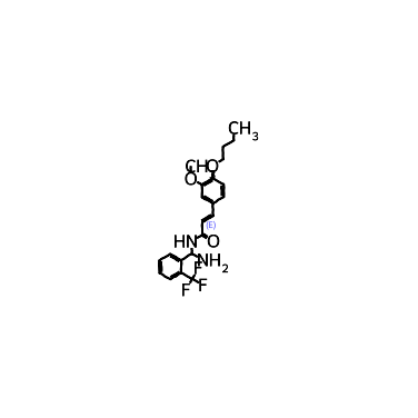 CCCCOc1ccc(/C=C/C(=O)NC(N)c2ccccc2C(F)(F)F)cc1OC